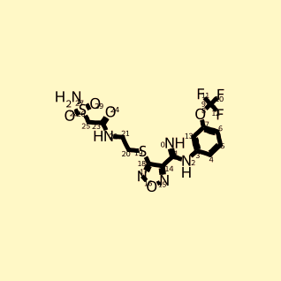 N=C(Nc1cccc(OC(F)(F)F)c1)c1nonc1SCCNC(=O)CS(N)(=O)=O